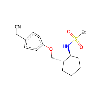 CCS(=O)(=O)N[C@H]1CCCC[C@@H]1COc1ccc(CC#N)cc1